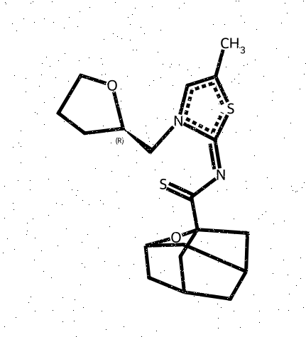 Cc1cn(C[C@H]2CCCO2)c(=NC(=S)C23CC4CC(CC(C4)O2)C3)s1